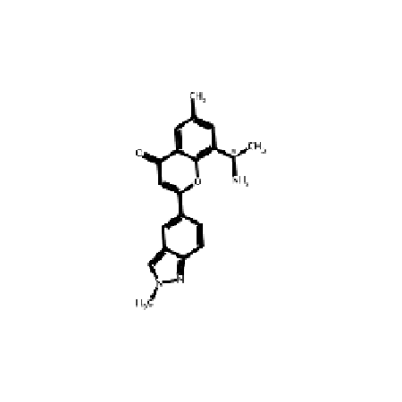 Cc1cc([C@@H](C)N)c2oc(-c3ccc4nn(C)cc4c3)cc(=O)c2c1